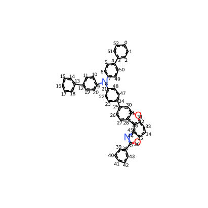 c1ccc(-c2ccc(N(c3ccc(-c4ccccc4)cc3)c3ccc(-c4ccc5c(c4)oc4ccc6oc(-c7ccccc7)nc6c45)cc3)cc2)cc1